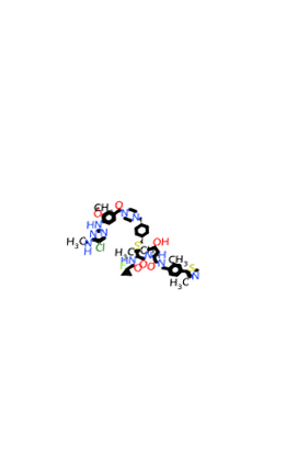 CNc1nc(Nc2ccc(C(=O)N3CCN(C[C@H]4CC[C@@H](CSC(C)(C)[C@H](NC(=O)C5(F)CC5)C(=O)N5C[C@H](O)CC5C(=O)NCc5ccc(-c6scnc6C)cc5C)CC4)CC3)cc2OC)ncc1Cl